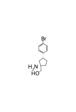 N[C@@]1(CO)CC[C@@H](c2ccc(Br)cc2)C1